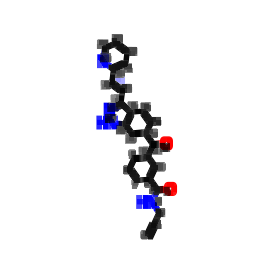 C#CCNC(=O)c1cccc(C(=O)c2ccc3c(/C=C/c4ccccn4)n[nH]c3c2)c1